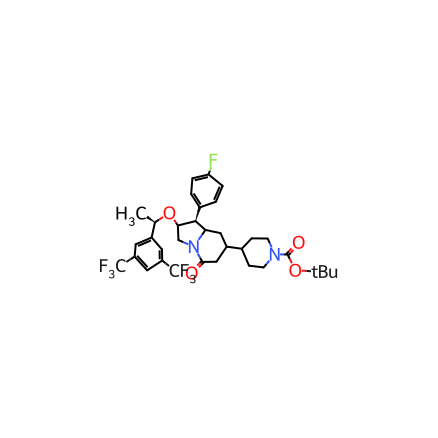 C[C@@H](OC1CN2C(=O)CC(C3CCN(C(=O)OC(C)(C)C)CC3)CC2[C@@H]1c1ccc(F)cc1)c1cc(C(F)(F)F)cc(C(F)(F)F)c1